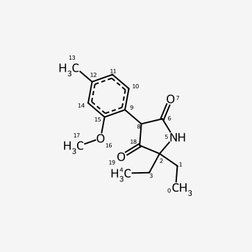 CCC1(CC)NC(=O)C(c2ccc(C)cc2OC)C1=O